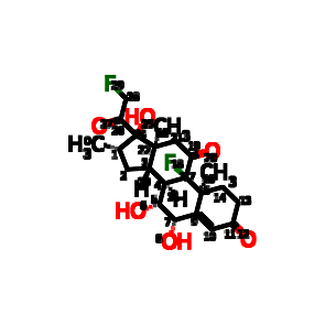 C[C@H]1C[C@H]2[C@@H]3[C@@H](O)[C@@H](O)C4=CC(=O)CC[C@]4(C)[C@@]3(F)C(=O)C[C@]2(C)[C@@]1(O)C(=O)CF